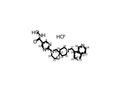 Cl.O=C(NO)c1cnc(N2CCOC3(CCN(Cc4cccc5ccncc45)CC3)C2)nc1